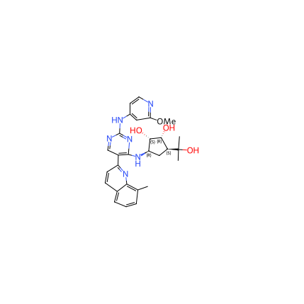 COc1cc(Nc2ncc(-c3ccc4cccc(C)c4n3)c(N[C@@H]3C[C@H](C(C)(C)O)[C@@H](O)[C@H]3O)n2)ccn1